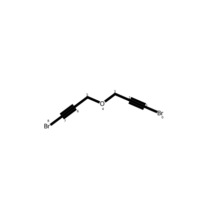 BrC#CCOCC#CBr